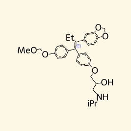 CC/C(=C(\c1ccc(OCOC)cc1)c1ccc(OCC(O)CNC(C)C)cc1)c1ccc2c(c1)OCO2